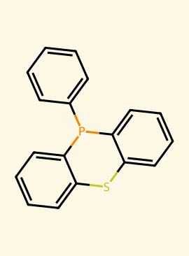 c1ccc(P2c3ccccc3Sc3ccccc32)cc1